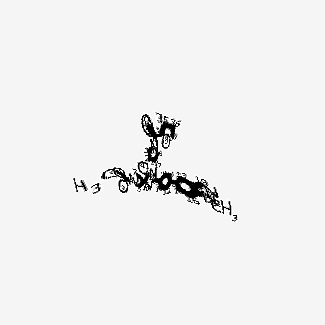 COC(=O)N1CC2(C1)N=C(c1ccc(-c3ccc4c(cnn4C)c3)cc1)N(C[C@@H]1CCN(C(=O)[C@H]3CCCO3)C1)C2=O